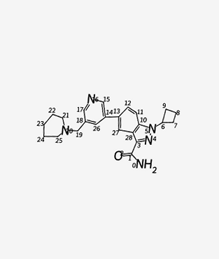 NC(=O)c1nn(C2CCC2)c2ccc(-c3cncc(CN4CCCCC4)c3)cc12